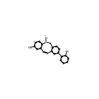 CC(=O)c1ccccc1-c1ccc2c(c1)/C=C\c1cc(Cl)ccc1N(C(C)=O)C2